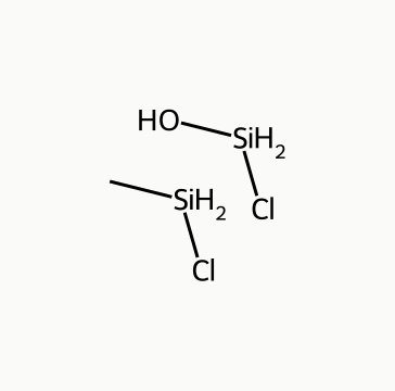 C[SiH2]Cl.O[SiH2]Cl